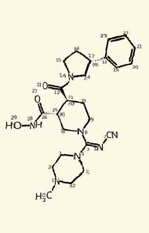 CN1CCN(C(=NC#N)N2CC[C@H](C(=O)N3CC[C@H](c4ccccc4)C3)[C@@H](C(=O)NO)C2)CC1